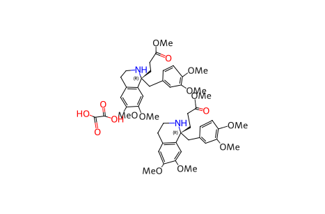 COC(=O)CC[C@]1(Cc2ccc(OC)c(OC)c2)NCCc2cc(OC)c(OC)cc21.COC(=O)CC[C@]1(Cc2ccc(OC)c(OC)c2)NCCc2cc(OC)c(OC)cc21.O=C(O)C(=O)O